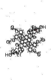 CCN(CC)C(=O)C(Cc1ccc(O)cc1)N1C(=O)c2cc(Oc3cccc(OCC4CO4)c3)c3c4c(Oc5cccc(OCC6CO6)c5)cc5c6c(cc(Oc7cccc(OCC8CO8)c7)c(c7c(Oc8cccc(OCC9CO9)c8)cc(c2c37)C1=O)c64)C(=O)N(C(Cc1ccc(O)cc1)C(=O)N(CC)CC)C5=O